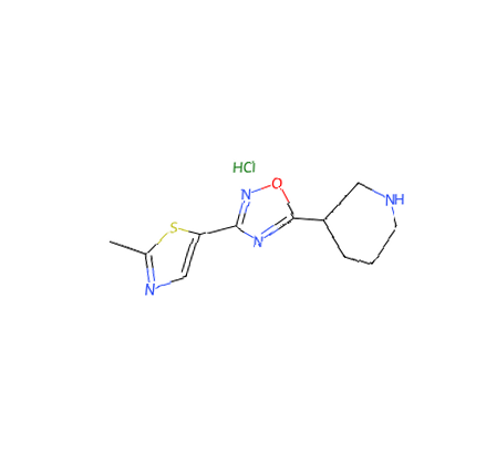 Cc1ncc(-c2noc(C3CCCNC3)n2)s1.Cl